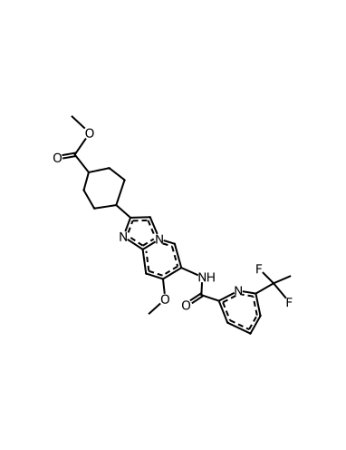 COC(=O)C1CCC(c2cn3cc(NC(=O)c4cccc(C(C)(F)F)n4)c(OC)cc3n2)CC1